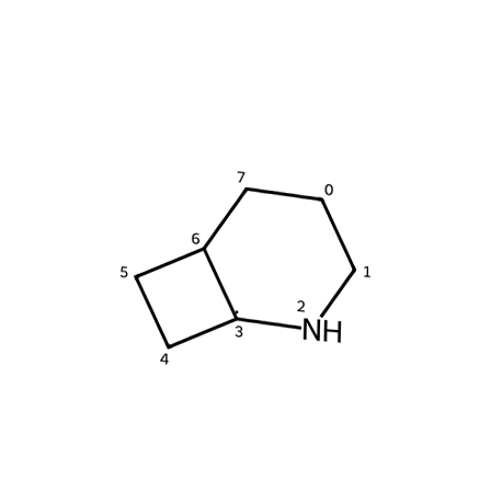 C1CN[C]2CCC2C1